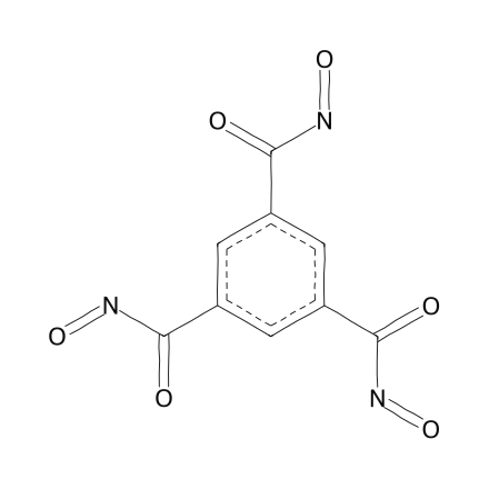 O=NC(=O)c1cc(C(=O)N=O)cc(C(=O)N=O)c1